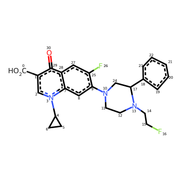 O=C(O)c1cn(C2CC2)c2cc(N3CCN(CCF)C(c4ccccc4)C3)c(F)cc2c1=O